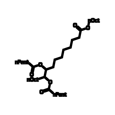 CCCCCCCCOC(=O)CCCCCCCC(OC(=O)CCCCC)C(CCCCCCCC)OC(=O)CCCCC